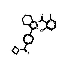 Cc1cccc(Cl)c1C(=O)n1nc(-c2ccc(C(=O)N3CCC3)cc2)c2c1CCCC2